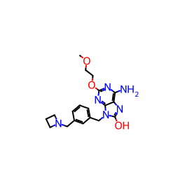 COCCOc1nc(N)c2nc(O)n(Cc3cccc(CN4CCC4)c3)c2n1